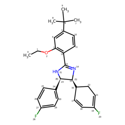 CCOc1cc(C(C)(C)C)ccc1C1=N[C@@H](C2C=CC(F)=CC2)[C@@H](c2ccc(F)cc2)N1